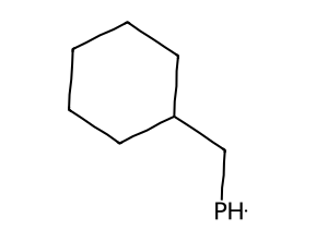 [PH]CC1CCCCC1